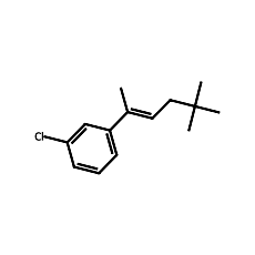 C/C(=C\CC(C)(C)C)c1cccc(Cl)c1